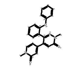 Cn1ccc(-c2cc(=O)n(C)nc2-c2ccccc2Oc2ccccc2)cc1=O